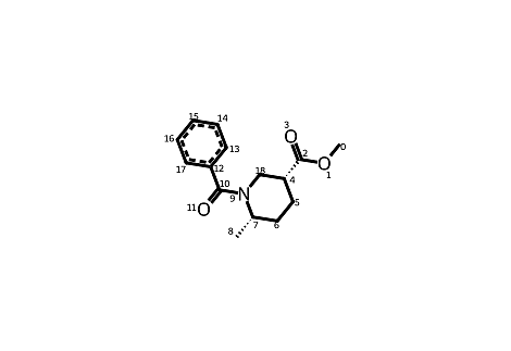 COC(=O)[C@@H]1CC[C@H](C)N(C(=O)c2ccccc2)C1